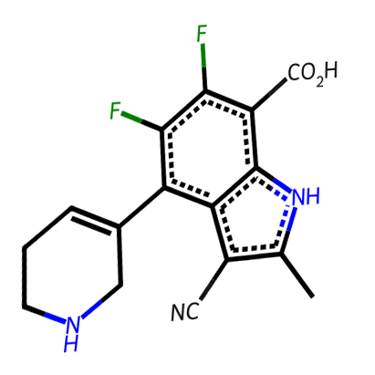 Cc1[nH]c2c(C(=O)O)c(F)c(F)c(C3=CCCNC3)c2c1C#N